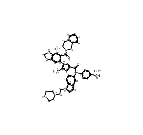 Cc1cc(C(=O)N(c2ccc(O)cc2)c2ccc3c(ccn3CCN3CCOCC3)c2)cn1-c1cc2c(cc1C(=O)N1Cc3ccccc3C[C@H]1C)OCO2.Cl